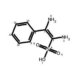 NC(=C(N)S(=O)(=O)O)c1ccccc1